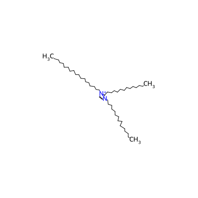 CCCCCCCCCCCCCCCCCCC[n+]1ccn(CCCCCCCCCCCCCCC)c1CCCCCCCCCCCCC